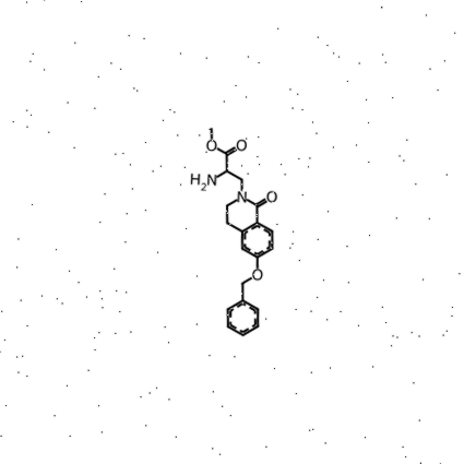 COC(=O)C(N)CN1CCc2cc(OCc3ccccc3)ccc2C1=O